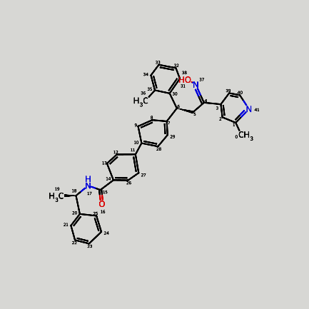 Cc1cc(/C(C[C@@H](c2ccc(-c3ccc(C(=O)N[C@H](C)c4ccccc4)cc3)cc2)c2ccccc2C)=N/O)ccn1